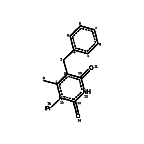 Cc1c(Cc2ccccc2)c(=O)[nH]c(=O)n1C(C)C